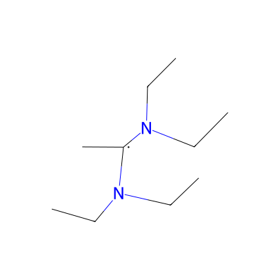 CCN(CC)[C](C)N(CC)CC